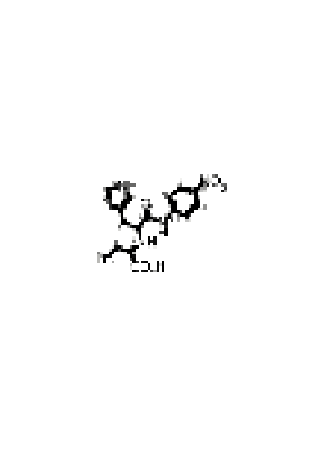 CC(C)CC(N[C@@H](Cc1c[nH]cn1)C(=O)Nc1ccc([N+](=O)[O-])cc1)C(=O)O